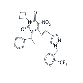 CC(c1ccccc1)n1c(C=Cc2cnn(Cc3ccccc3C(F)(F)F)c2)c([N+](=O)[O-])c(=O)n(C2CCC2)c1=O